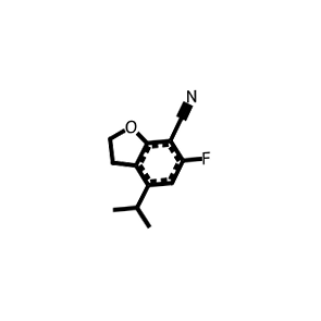 CC(C)c1cc(F)c(C#N)c2c1CCO2